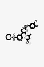 Cc1cc(C(F)(F)F)nn1-c1nc(Nc2ccc(F)c(Cl)c2)ncc1-c1cncc(S(=O)(=O)N2CCOCC2)c1